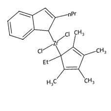 CCCC1=Cc2ccccc2[CH]1[Zr]([Cl])([Cl])[C]1(CC)C(C)=C(C)C(C)=C1C